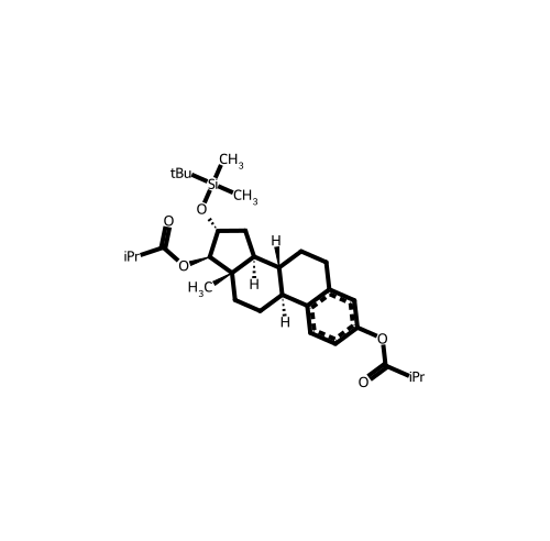 CC(C)C(=O)Oc1ccc2c(c1)CC[C@@H]1[C@@H]2CC[C@@]2(C)[C@H]1C[C@@H](O[Si](C)(C)C(C)(C)C)[C@@H]2OC(=O)C(C)C